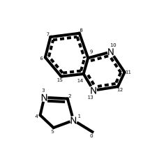 CN1C=NCC1.c1ccc2nccnc2c1